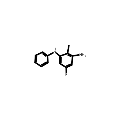 Cc1c(N)cc(F)cc1Nc1ccccc1